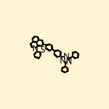 C1=CN(c2ccccc2)c2c3sc4cc(-c5ccc(-c6nc(-c7ccccc7)nc(-c7ccccc7)n6)cc5)ccc4c3cc3cccc1c23